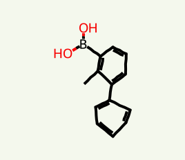 Cc1c(B(O)O)cccc1-c1ccccc1